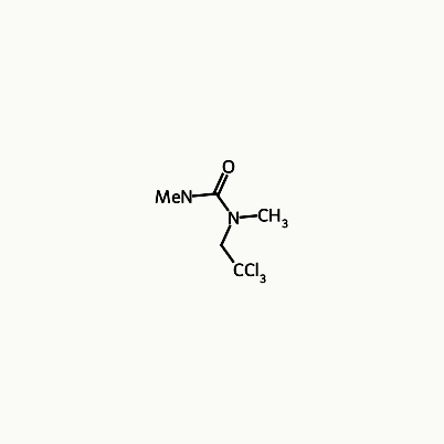 CNC(=O)N(C)CC(Cl)(Cl)Cl